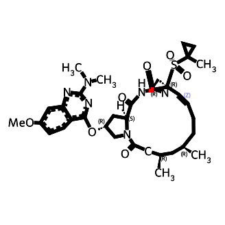 COc1ccc2c(O[C@@H]3C[C@H]4C(=O)N[C@]56C[C@]5(/C=C\CC[C@@H](C)C[C@@H](C)CC(=O)N4C3)N(S(=O)(=O)C3(C)CC3)C6=O)nc(N(C)C)nc2c1